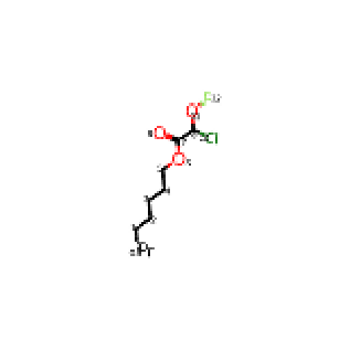 CC(C)CCCCCOC(=O)C(Cl)OF